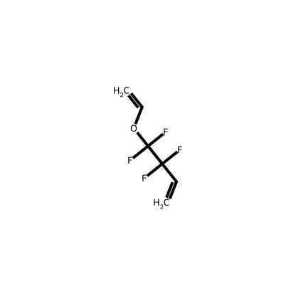 C=COC(F)(F)C(F)(F)C=C